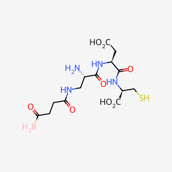 BC(=O)CCC(=O)NC[C@H](N)C(=O)N[C@@H](CC(=O)O)C(=O)N[C@@H](CS)C(=O)O